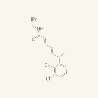 CC(C)CNC(=O)/C=C/C=CC(C)c1cccc(Cl)c1Cl